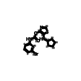 O=C(Nc1cccc(Br)n1)Oc1ncsc1NC1CCCC1